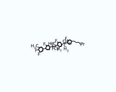 Cc1cc(-c2ccc(C(F)(F)C(C)(C)c3c(F)cc(C(C)(C)c4ccc(CCCC(C)C)cc4F)cc3F)cc2F)cc(F)c1F